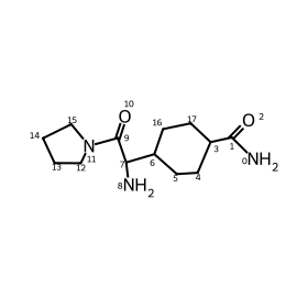 NC(=O)C1CCC(C(N)C(=O)N2CCCC2)CC1